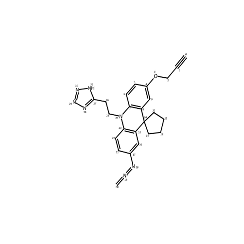 C#CCOc1ccc2c(c1)C1(CCCC1)c1cc(N=[N+]=C)ccc1N2CCc1nnn[nH]1